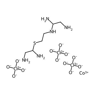 NCC(N)NCCSC(N)CN.[Co+3].[O-][Cl+3]([O-])([O-])[O-].[O-][Cl+3]([O-])([O-])[O-].[O-][Cl+3]([O-])([O-])[O-]